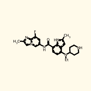 CCN(c1ccc(C(=O)Nc2cc(F)c3nc(C)cn3c2)c2[nH]c(C)cc12)C1CCNCC1